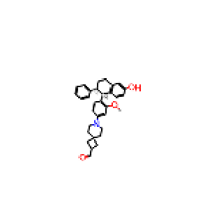 COc1cc(N2CCC3(CC2)CC(C=O)C3)ccc1[C@@H]1c2ccc(O)cc2CC[C@@H]1c1ccccc1